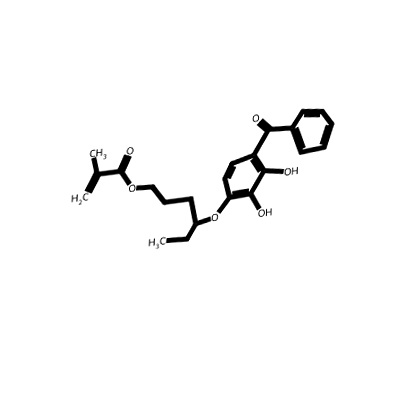 C=C(C)C(=O)OCCCC(CC)Oc1ccc(C(=O)c2ccccc2)c(O)c1O